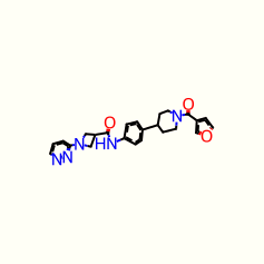 O=C(Nc1ccc(C2CCN(C(=O)c3ccoc3)CC2)cc1)C1CN(c2cccnn2)C1